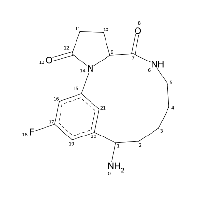 NC1CCCCNC(=O)C2CCC(=O)N2c2cc(F)cc1c2